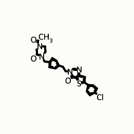 CC(=O)N1CCN(Cc2ccc(CCn3cnc4cc(-c5ccc(Cl)cc5)sc4c3=O)cc2)C(=O)C1